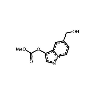 COC(=O)Oc1cnn2ccc(CO)cc12